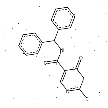 O=C1CC(Cl)=NC=C1C(=O)NC(c1ccccc1)c1ccccc1